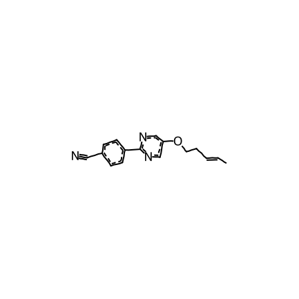 CC=CCCOc1cnc(-c2ccc(C#N)cc2)nc1